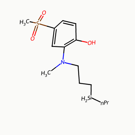 CCC[SiH2]CCCN(C)c1cc(S(C)(=O)=O)ccc1O